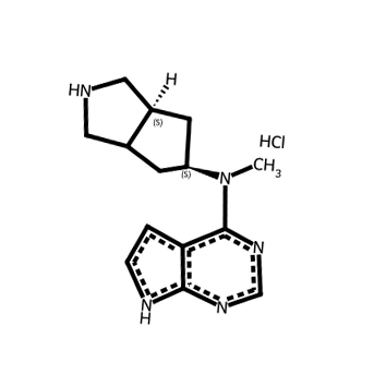 CN(c1ncnc2[nH]ccc12)[C@H]1CC2CNC[C@H]2C1.Cl